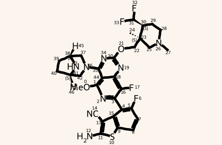 COc1nc(-c2c(F)ccc3sc(N)c(C#N)c23)c(F)c2nc(OC[C@]3(C)CN(C)CC[C@@H]3C(F)F)nc(N3C[C@H]4CC[C@@H](C3)N4)c12